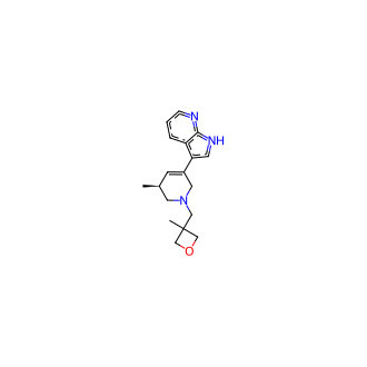 C[C@H]1C=C(c2c[nH]c3ncccc23)CN(CC2(C)COC2)C1